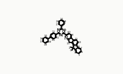 CC1(C)c2ccccc2-c2ccc3c(c21)Cc1nc(-c2nc(-c4ccccc4)nc(-c4ccc(-c5ccccc5)cc4)n2)ccc1-3